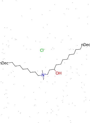 CCCCCCCCCCCCCCCCCCC(O)CC[N+](C)(C)CCCCCCCCCCCCCCCCCC.[Cl-]